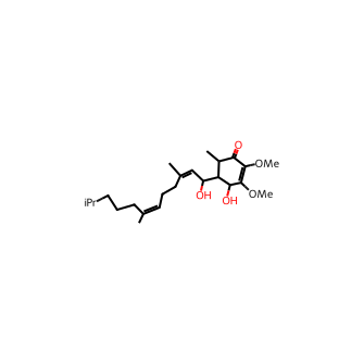 COC1=C(OC)C(O)C(C(O)C=C(C)CCC=C(C)CCCC(C)C)C(C)C1=O